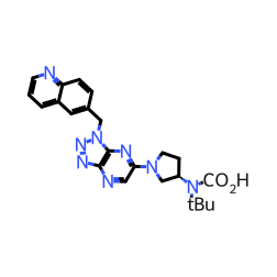 CC(C)(C)N(C(=O)O)[C@@H]1CCN(c2cnc3nnn(Cc4ccc5ncccc5c4)c3n2)C1